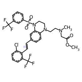 COC(=O)CN(C)CCN1CCN(S(=O)(=O)c2cccc(C(F)(F)F)c2)c2cc(/C=C/c3c(Cl)cccc3C(F)(F)F)ccc21